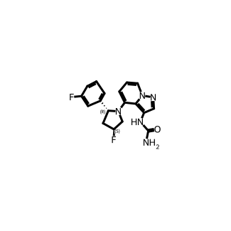 NC(=O)Nc1cnn2cccc(N3C[C@@H](F)C[C@@H]3c3cccc(F)c3)c12